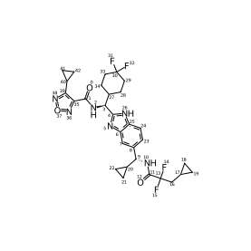 O=C(N[C@H](c1nc2cc([C@H](NC(=O)C(F)(F)CC3CC3)C3CC3)ccc2[nH]1)C1CCC(F)(F)CC1)c1nonc1C1CC1